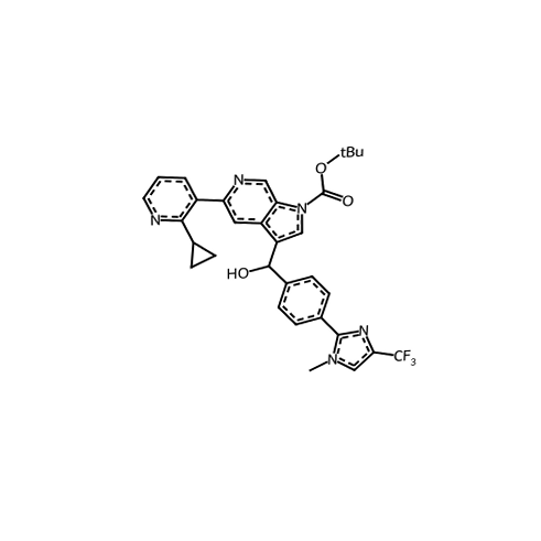 Cn1cc(C(F)(F)F)nc1-c1ccc(C(O)c2cn(C(=O)OC(C)(C)C)c3cnc(-c4cccnc4C4CC4)cc23)cc1